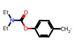 [CH2]c1ccc(OC(=O)N(CC)CC)cc1